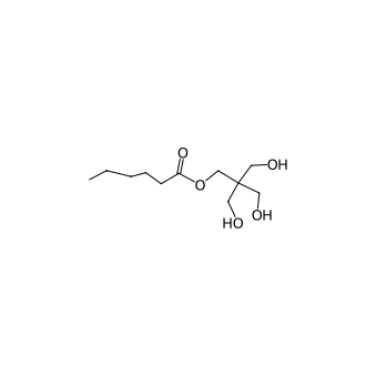 CCCCCC(=O)OCC(CO)(CO)CO